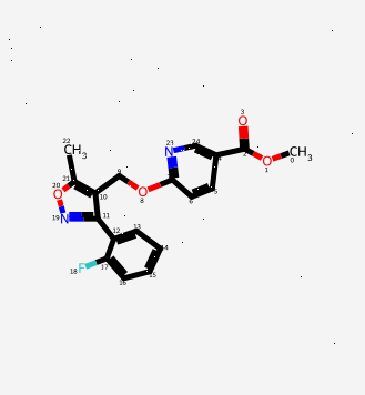 COC(=O)c1ccc(OCc2c(-c3ccccc3F)noc2C)nc1